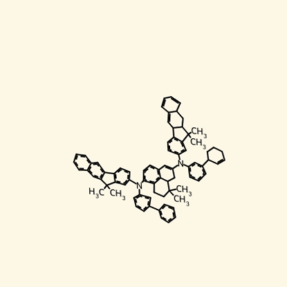 CC1(C)c2cc(N(c3cccc(-c4ccccc4)c3)c3ccc4c5c3CCC(C)(C)C5CC(N(c3cccc(C5C=CCCC5)c3)c3ccc5c(c3)C(C)(C)C3CC6C=CC=CC6=CC53)=C4)ccc2-c2cc3ccccc3cc21